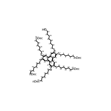 CCCCCCCCCCCCCCCCSc1cc2c(cc1SCCCCCCCCO)c1cc(SCCCCCCCCCCCCCCCC)c(SCCCCCCCCCCCCCCCC)cc1c1cc(SCCCCCCCCCCCCCCCC)c(SCCCCCCCCCCCCCCCC)cc21